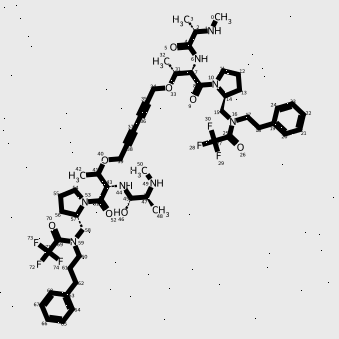 CN[C@@H](C)C(=O)N[C@H](C(=O)N1CCC[C@H]1CN(CCc1ccccc1)C(=O)C(F)(F)F)[C@@H](C)OCC#CC#CCOC(C)[C@H](N[C@@H](O)[C@H](C)NC)C(=O)N1CCC[C@H]1CN(CCCc1ccccc1)C(=O)C(F)(F)F